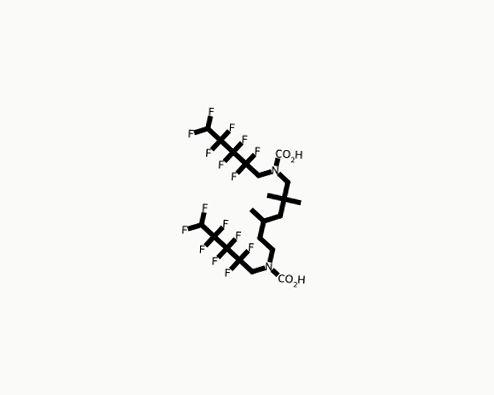 CC(CCN(CC(F)(F)C(F)(F)C(F)(F)C(F)F)C(=O)O)CC(C)(C)CN(CC(F)(F)C(F)(F)C(F)(F)C(F)F)C(=O)O